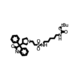 CC(C)(C)OC(=O)NCCCCCNS(=O)(=O)CCN1CCC(C(C(N)=O)(c2ccccc2)c2ccccc2)C1